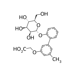 Cc1cc(OCC(=O)O)cc(-c2ccccc2O[C@H]2O[C@H](CO)[C@@H](O)[C@H](O)[C@@H]2O)c1